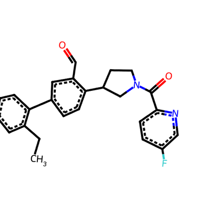 CCc1ccccc1-c1ccc(C2CCN(C(=O)c3ccc(F)cn3)C2)c(C=O)c1